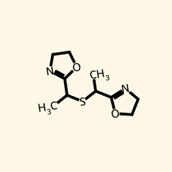 CC(SC(C)C1=NCCO1)C1=NCCO1